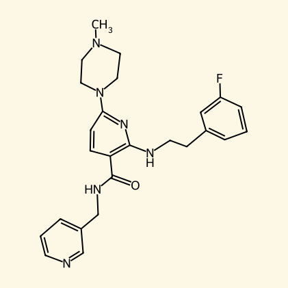 CN1CCN(c2ccc(C(=O)NCc3cccnc3)c(NCCc3cccc(F)c3)n2)CC1